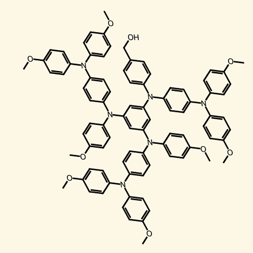 COc1ccc(N(c2ccc(OC)cc2)c2ccc(N(c3ccc(CO)cc3)c3cc(N(c4ccc(OC)cc4)c4ccc(N(c5ccc(OC)cc5)c5ccc(OC)cc5)cc4)cc(N(c4ccc(OC)cc4)c4ccc(N(c5ccc(OC)cc5)c5ccc(OC)cc5)cc4)c3)cc2)cc1